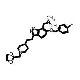 CN(C)Cc1c(OCc2ccc(F)cc2)ccc2c(CCC3CCN(CC4OCCO4)CC3)noc12